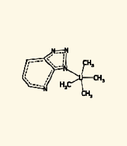 [CH3][U]([CH3])([CH3])([CH3])[n]1nnc2cccnc21